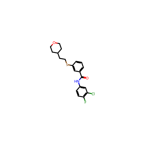 O=C(Nc1ccc(F)c(Cl)c1)c1cccc(SCCC2CCOCC2)c1